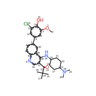 COc1cc(-c2ccc3ncc(C(=O)C(C)(C)C)c(NC4CCC(N(C)C)CC4)c3c2)cc(Cl)c1O